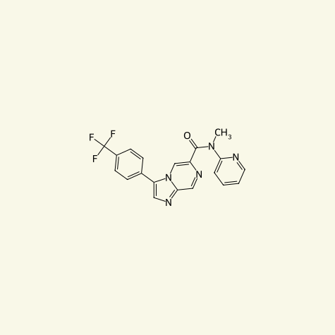 CN(C(=O)c1cn2c(-c3ccc(C(F)(F)F)cc3)cnc2cn1)c1ccccn1